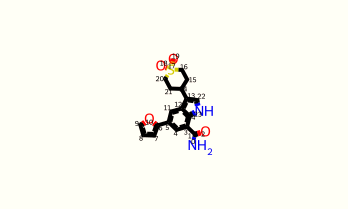 NC(=O)c1cc(-c2ccco2)cc2c(C3CCS(=O)(=O)CC3)c[nH]c12